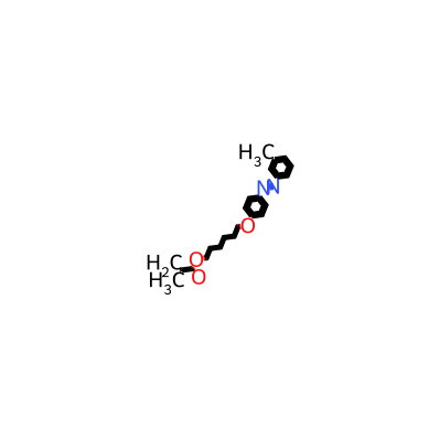 C=C(C)C(=O)OCCCCCCOc1ccc(/N=N/c2cccc(C)c2)cc1